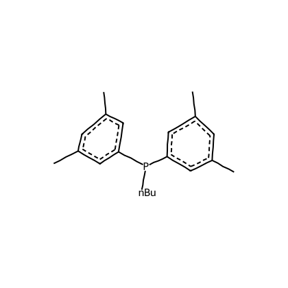 CCCCP(c1cc(C)cc(C)c1)c1cc(C)cc(C)c1